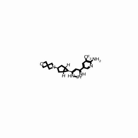 CC(C)N/C(=C\C(=N)c1cnc(N)c(C(F)(F)F)c1)[C@H]1[C@@H]2C[C@@H](N3CC4(COC4)C3)C[C@@H]21